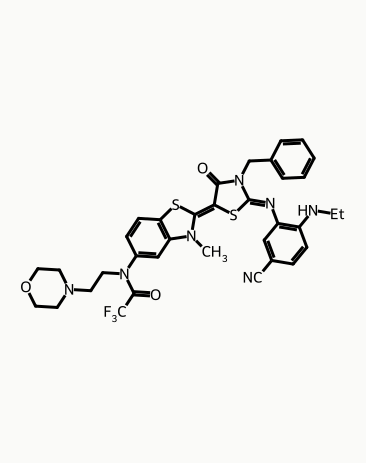 CCNc1ccc(C#N)cc1N=C1SC(=C2Sc3ccc(N(CCN4CCOCC4)C(=O)C(F)(F)F)cc3N2C)C(=O)N1Cc1ccccc1